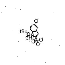 CC(C)(C)OC=O.O=S(=O)(Cl)c1cc2cc(Cl)ccc2[nH]1